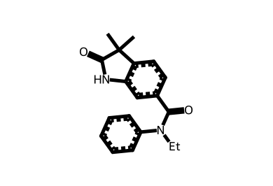 CCN(C(=O)c1ccc2c(c1)NC(=O)C2(C)C)c1ccccc1